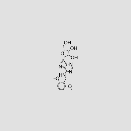 COc1cccc(OC)c1CNc1ncnc2c1ncn2[C@@H]1O[C@H](CO)[C@@H](O)[C@H]1O